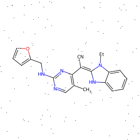 CCN1/C(=C(\C#N)c2nc(NCc3ccco3)ncc2C)Nc2ccccc21